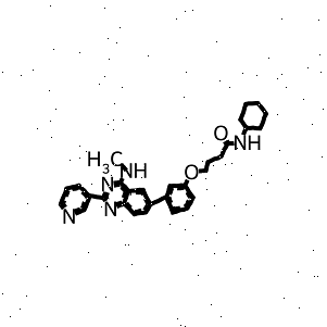 CNc1nc(-c2cccnc2)nc2ccc(-c3cccc(OCCCC(=O)NC4CCCCC4)c3)cc12